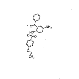 COOc1ccc(S(=O)(=O)Nc2ccc(N)cc2C(=O)c2ccccc2)cc1